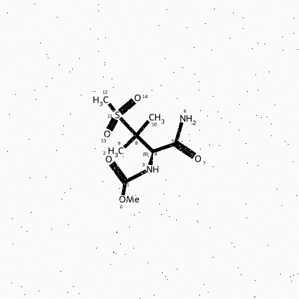 COC(=O)N[C@H](C(N)=O)C(C)(C)S(C)(=O)=O